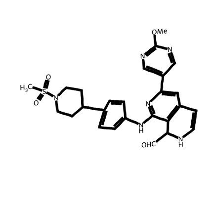 COc1ncc(-c2cc3c(c(Nc4ccc(C5CCN(S(C)(=O)=O)CC5)cc4)n2)C(C=O)NC=C3)cn1